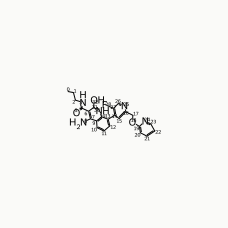 CCCNC(=O)C1=C(N)c2cccc(-c3cc(COc4ccccn4)ncc3F)c2NC1O